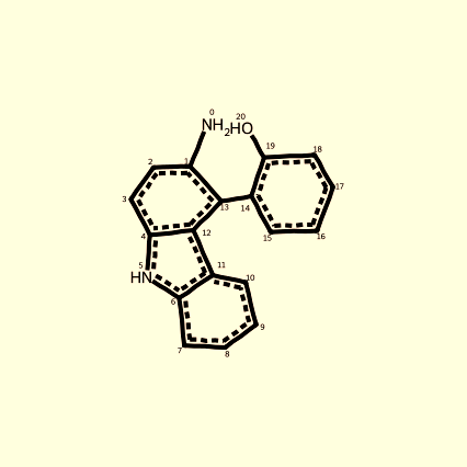 Nc1ccc2[nH]c3ccccc3c2c1-c1ccccc1O